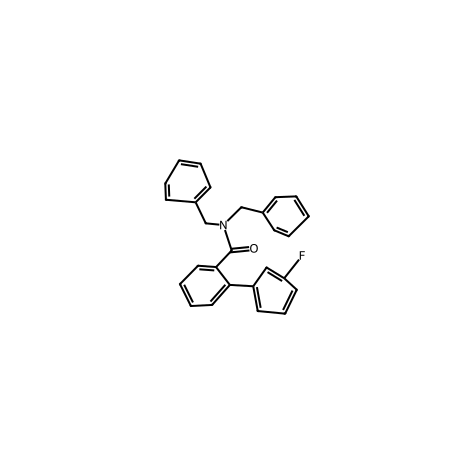 O=C(c1ccccc1-c1cccc(F)c1)N(Cc1ccccc1)Cc1ccccc1